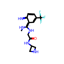 CN/C(NCC(=O)NC1CNC1)=C1/C=C(C(F)(F)F)C=CC1=N